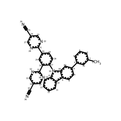 Cc1cccc(-c2ccc3c4ccccc4n(-c4ccc(-c5ncc(C#N)cn5)cc4-c4ncc(C#N)cn4)c3c2)c1